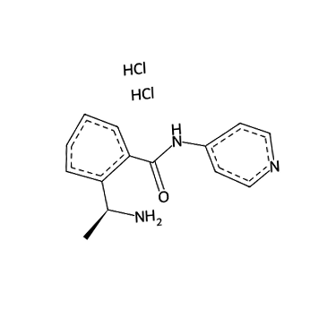 C[C@H](N)c1ccccc1C(=O)Nc1ccncc1.Cl.Cl